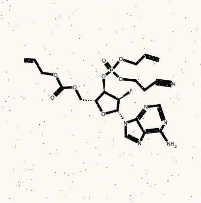 C=CCOC(=O)OC[C@H]1O[C@@H](n2cnc3c(N)ncnc32)[C@H](F)[C@@H]1OP(=O)(OCC=C)OCCC#N